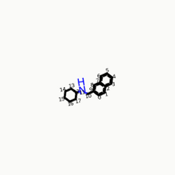 [c]1cc2ccccc2cc1CNC1CCCCC1